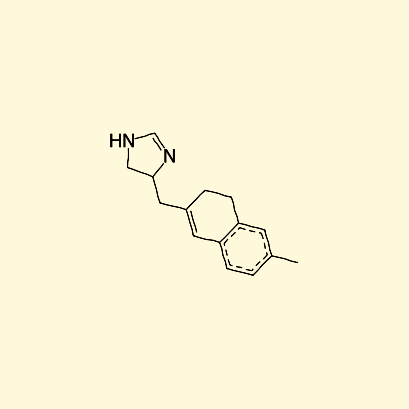 Cc1ccc2c(c1)CCC(CC1CNC=N1)=C2